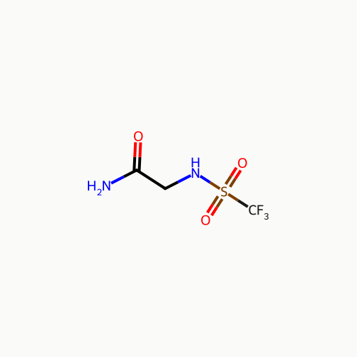 NC(=O)CNS(=O)(=O)C(F)(F)F